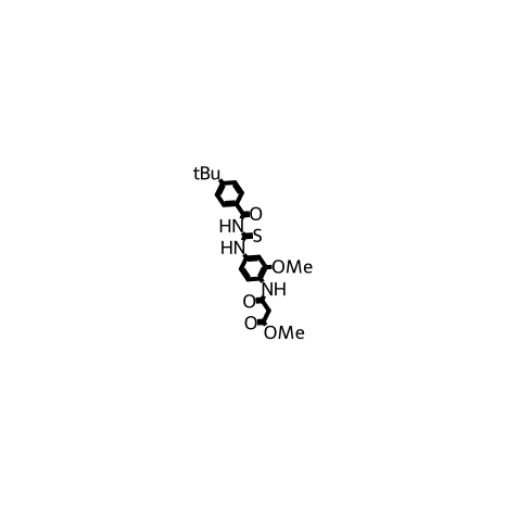 COC(=O)CC(=O)Nc1ccc(NC(=S)NC(=O)c2ccc(C(C)(C)C)cc2)cc1OC